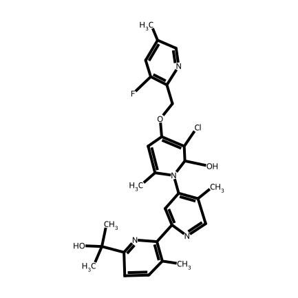 CC1=CC(OCc2ncc(C)cc2F)=C(Cl)C(O)N1c1cc(-c2nc(C(C)(C)O)ccc2C)ncc1C